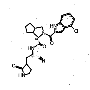 N#C[C@H](CC1CCNC1=O)NC(=O)[C@@H]1C2CCCC2CN1C(=O)c1cc2c(Cl)cccc2[nH]1